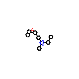 C1=CC2C=Cc3oc4ccc(-c5ccc(-c6nc(-c7ccccc7)nc(-c7cccc(-c8ccccc8)c7)n6)cc5)cc4c3C2C=C1